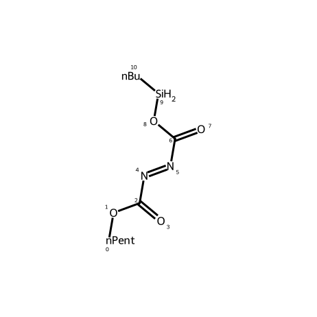 CCCCCOC(=O)N=NC(=O)O[SiH2]CCCC